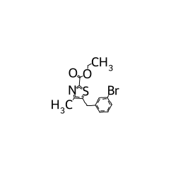 CCOC(=O)c1nc(C)c(Cc2cccc(Br)c2)s1